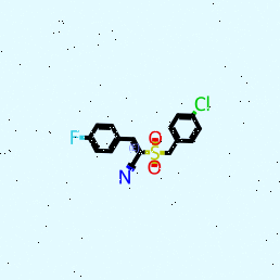 N#C/C(=C\c1ccc(F)cc1)S(=O)(=O)Cc1ccc(Cl)cc1